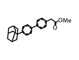 COC(=O)Cc1ccc(-c2ccc(C34CC5CC(CC(C5)C3)C4)cc2)cc1